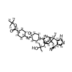 CC(C)(O)COCC12N=C(N3CCS(=O)(=NC4CCN(C(=O)OC(C)(C)C)CC4)CC3)C=CC1(C)[C@@]2(C)c1[nH]ncc1C#N